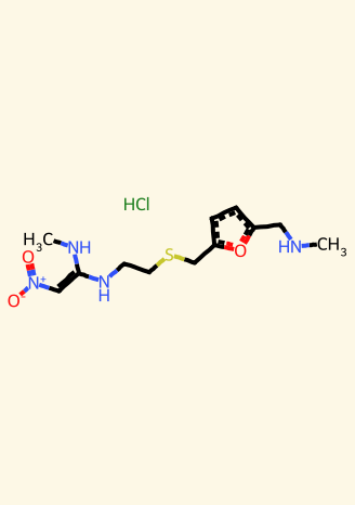 CNCc1ccc(CSCCNC(=C[N+](=O)[O-])NC)o1.Cl